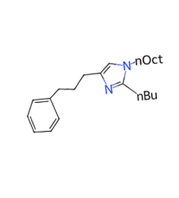 CCCCCCCCn1cc(CCCc2ccccc2)nc1CCCC